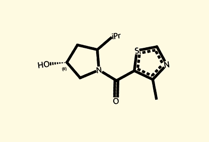 Cc1ncsc1C(=O)N1C[C@H](O)CC1C(C)C